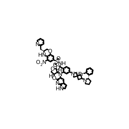 CC(C)c1ccccc1[C@@H]1CCCN1C1CC2(C1)CN(c1ccc(C(=O)NS(=O)(=O)c3cc4c(c([N+](=O)[O-])c3)N[C@@H](Cc3ccccn3)CO4)c(N3c4cc5cc[nH]c5nc4O[C@H]4COC[C@@H]43)c1)C2